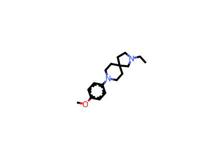 CCN1CCC2(CCN(c3ccc(OC)cc3)CC2)C1